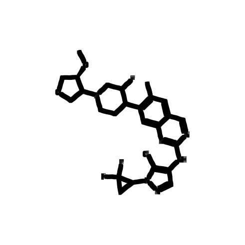 CO[C@@H]1COCC1N1CCC(c2cc3nc(Nc4cnn(C5CC5(F)F)c4Cl)ncc3cc2C)C(F)C1